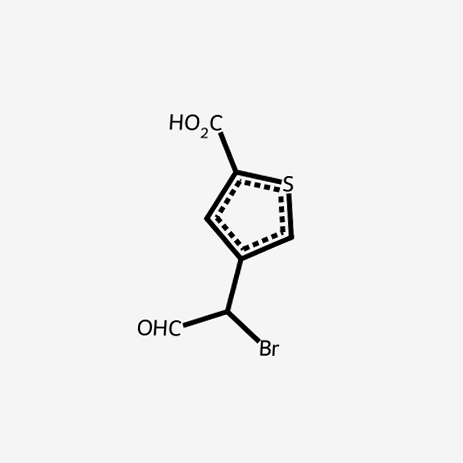 O=CC(Br)c1csc(C(=O)O)c1